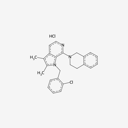 Cc1c(C)n(Cc2ccccc2Cl)c2c(N3CCc4ccccc4C3)nccc12.Cl